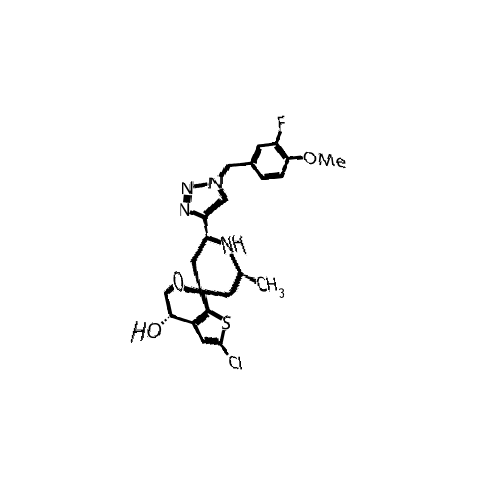 COc1ccc(Cn2cc([C@@H]3C[C@]4(C[C@H](C)N3)OC[C@@H](O)c3cc(Cl)sc34)nn2)cc1F